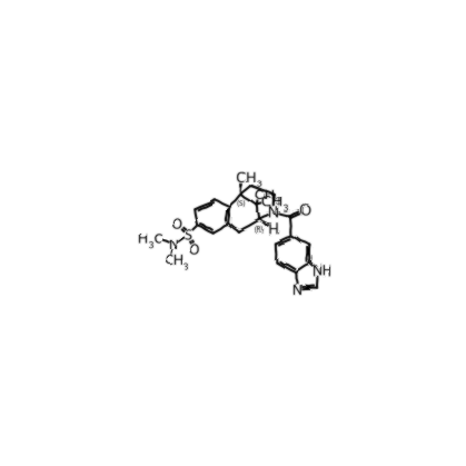 CN(C)S(=O)(=O)c1ccc2c(c1)C[C@H]1N(C(=O)c3ccc4nc[nH]c4c3)CC[C@]2(C)C1(C)C